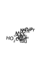 Cc1ncc(-c2ccc(O[C@@H](C)C(C)C)cn2)c(N2CCC(C)(C)CC2)c1[C@H](OC(C)(C)C)C(=O)O